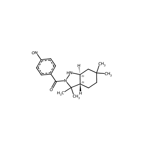 CC1(C)CC[C@H]2[C@H](C1)NN(C(=O)c1ccc(N=O)cc1)C2(C)C